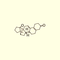 C[C@]12CC=C3C4=C(CC[C@H]3[C@@H]1CC[C@]21CCCC1=O)CC(=O)CC4